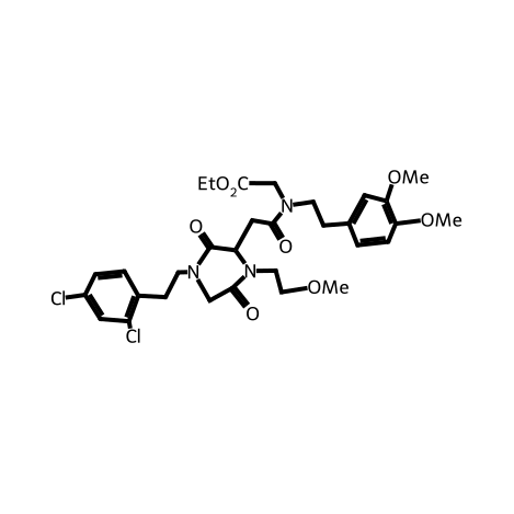 CCOC(=O)CN(CCc1ccc(OC)c(OC)c1)C(=O)CC1C(=O)N(CCc2ccc(Cl)cc2Cl)CC(=O)N1CCOC